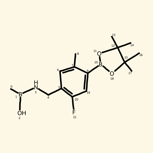 CB(O)NCc1cc(C)c(B2OC(C)(C)C(C)(C)O2)cc1F